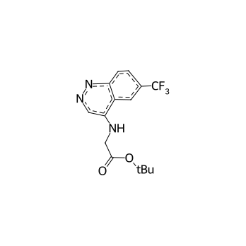 CC(C)(C)OC(=O)CNc1cnnc2ccc(C(F)(F)F)cc12